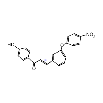 O=C(/C=C/c1cccc(Oc2ccc([N+](=O)[O-])cc2)c1)c1ccc(O)cc1